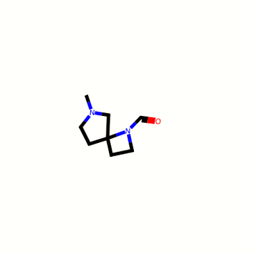 CN1CCC2(CCN2C=O)C1